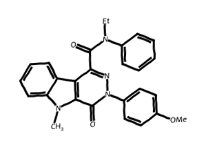 CCN(C(=O)c1nn(-c2ccc(OC)cc2)c(=O)c2c1c1ccccc1n2C)c1ccccc1